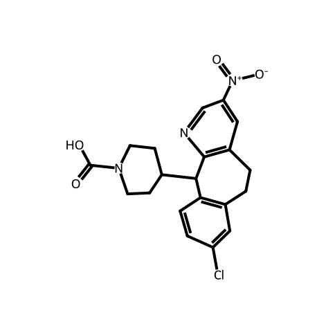 O=C(O)N1CCC(C2c3ccc(Cl)cc3CCc3cc([N+](=O)[O-])cnc32)CC1